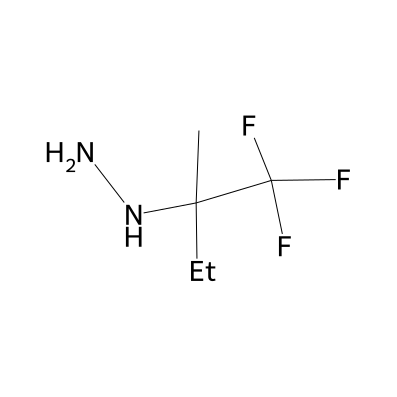 CCC(C)(NN)C(F)(F)F